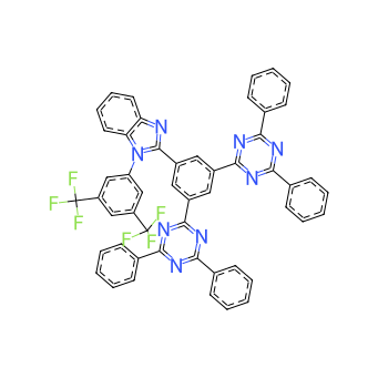 FC(F)(F)c1cc(-n2c(-c3cc(-c4nc(-c5ccccc5)nc(-c5ccccc5)n4)cc(-c4nc(-c5ccccc5)nc(-c5ccccc5)n4)c3)nc3ccccc32)cc(C(F)(F)F)c1